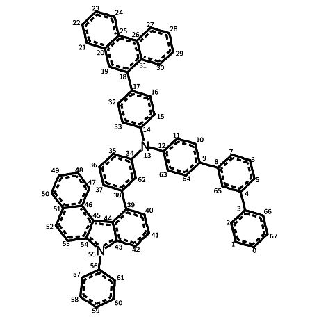 c1ccc(-c2cccc(-c3ccc(N(c4ccc(-c5cc6ccccc6c6ccccc56)cc4)c4cccc(-c5cccc6c5c5c7ccccc7ccc5n6-c5ccccc5)c4)cc3)c2)cc1